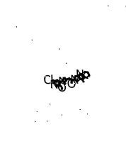 COc1cnc(Cl)cc1N1CC(CC(=O)N2Cc3nc4c(c(C)c3C2)CCCC4)C1